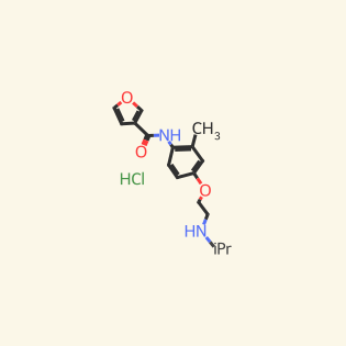 Cc1cc(OCCNC(C)C)ccc1NC(=O)c1ccoc1.Cl